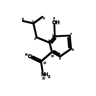 CC(C)Cc1c(O)cccc1C(N)=O